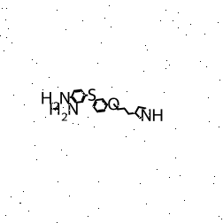 Nc1ccc(Sc2cccc(OCCCC3CCNC3)c2)cc1N